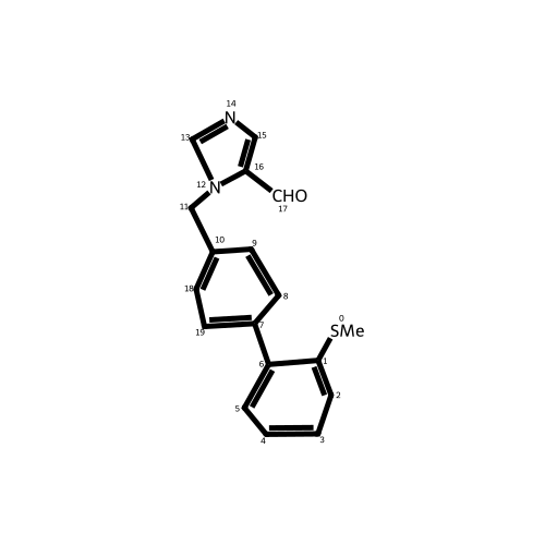 CSc1ccccc1-c1ccc(Cn2cncc2C=O)cc1